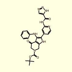 CC(C)(C)OC(=O)N1CC(=O)c2c([nH]c(-c3ccnc(NC(=O)c4cnn[nH]4)c3)c2Nc2ccccc2)C1